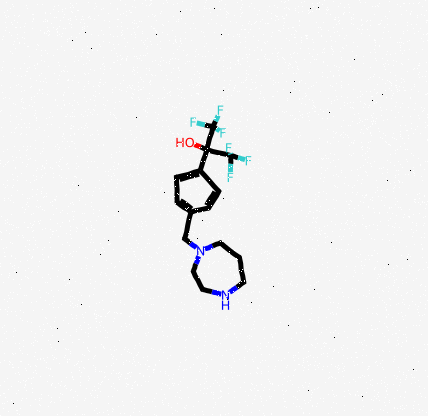 OC(c1ccc(CN2CCCNCC2)cc1)(C(F)(F)F)C(F)(F)F